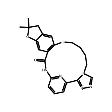 CC1(C)Cc2cc3c(cc2O1)C(=O)Nc1cccc(n1)-c1nncn1CCCCO3